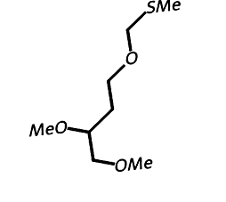 COCC(CCOCSC)OC